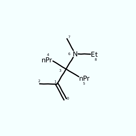 C=C(C)C(CCC)(CCC)N(C)CC